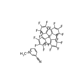 C[n+]1cccc(C#N)c1.Fc1c(F)c(F)c([B-](c2c(F)c(F)c(F)c(F)c2F)(c2c(F)c(F)c(F)c(F)c2F)c2c(F)c(F)c(F)c(F)c2F)c(F)c1F